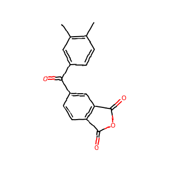 Cc1ccc(C(=O)c2ccc3c(c2)C(=O)OC3=O)cc1C